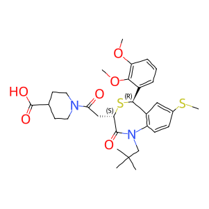 COc1cccc([C@@H]2S[C@@H](CC(=O)N3CCC(C(=O)O)CC3)C(=O)N(CC(C)(C)C)c3ccc(SC)cc32)c1OC